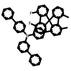 Cc1cccc2c1-c1c(C)ccc(-c3ccc(N(c4ccc(-c5ccccc5)cc4)c4cccc(-c5ccccc5)c4)cc3)c1C21c2cccc(F)c2-c2c(F)cccc21